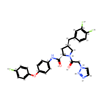 O=C(Nc1ccc(Oc2ccc(F)cc2)cc1)[C@@H]1C[C@@H](Cc2ccc(F)c(F)c2)CN1C(=O)Cn1ccnn1